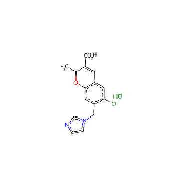 Cl.O=C(O)C1=Cc2cc(Cl)c(Cn3ccnc3)cc2OC1C(F)(F)F